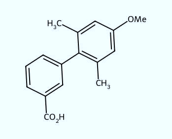 COc1cc(C)c(-c2cccc(C(=O)O)c2)c(C)c1